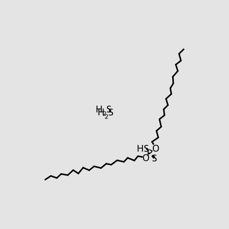 CCCCCCCCCCCCCCCCCCOP(=S)(S)OCCCCCCCCCCCCCCCCCC.S.S